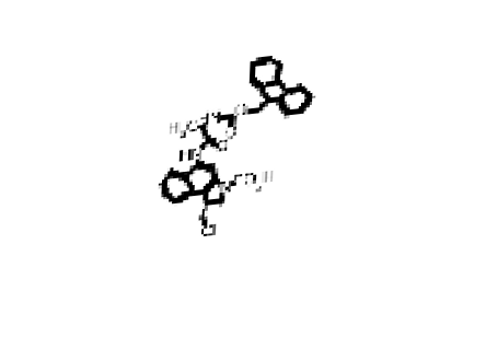 C[C@H](NC(=O)OCC1c2ccccc2-c2ccccc21)C(=O)Nc1cc2c(c3ccccc13)[C@H](CCl)CN2C(=O)O